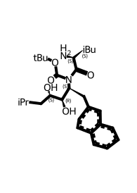 CC[C@H](C)[C@H](N)C(=O)N(C(=O)OC(C)(C)C)[C@@H](Cc1ccc2ccccc2c1)[C@@H](O)[C@@H](O)CC(C)C